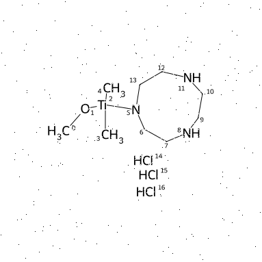 C[O][Ti]([CH3])([CH3])[N]1CCNCCNCC1.Cl.Cl.Cl